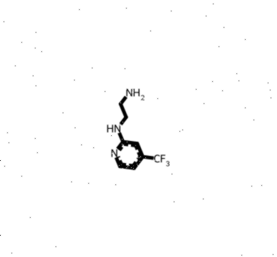 NCCNc1cc(C(F)(F)F)ccn1